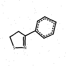 c1ccc(C2=NSCC2)cc1